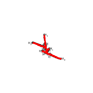 CCCCCCCCCCCCCCCCCCCCSSCCC(=O)NCCNC(=O)CCN(CCC(=O)NCCNC(=O)CCS)CCN(CCC(=O)NCCN(CCC(=O)NCCNC(=O)CCSSCCCCCCCCCCCCC)CCC(=O)NCCNC(=O)CCSSCCCCCCCCCCCCCCCCCCC)C(=O)CNCCSSC